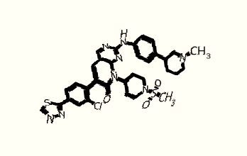 CN1CCCC(c2ccc(Nc3ncc4cc(-c5ccc(-c6nncs6)cc5Cl)c(=O)n(C5CCN(S(C)(=O)=O)CC5)c4n3)cc2)C1